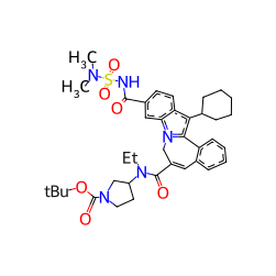 CCN(C(=O)C1=Cc2ccccc2-c2c(C3CCCCC3)c3ccc(C(=O)NS(=O)(=O)N(C)C)cc3n2C1)C1CCN(C(=O)OC(C)(C)C)C1